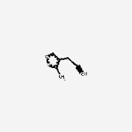 C#CCc1[c]onc1C